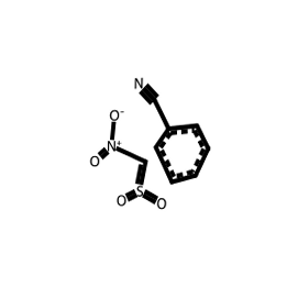 N#Cc1ccccc1.O=[N+]([O-])C=S(=O)=O